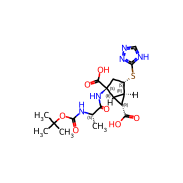 C[C@H](NC(=O)OC(C)(C)C)C(=O)N[C@@]1(C(=O)O)C[C@H](Sc2nnc[nH]2)[C@H]2[C@H](C(=O)O)[C@H]21